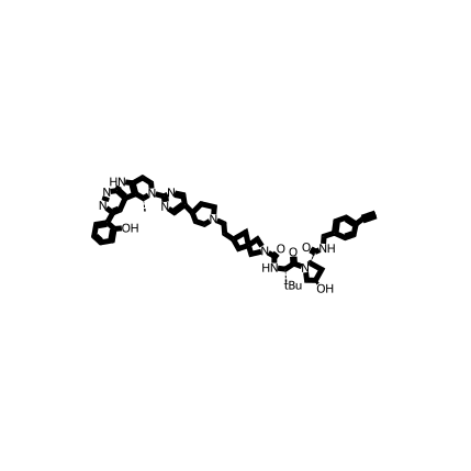 C#Cc1ccc(CNC(=O)[C@@H]2C[C@@H](O)CN2C(=O)[C@@H](NC(=O)N2CC3(CC(CCN4CCC(c5cnc(N6CCc7[nH]c8nnc(-c9ccccc9O)cc8c7[C@H]6C)nc5)CC4)C3)C2)C(C)(C)C)cc1